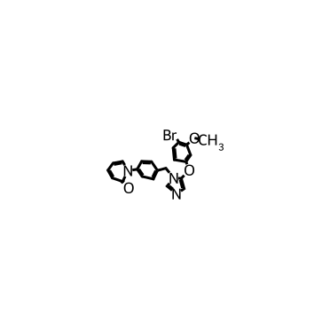 COc1cc(Oc2cncn2Cc2ccc(-n3ccccc3=O)cc2)ccc1Br